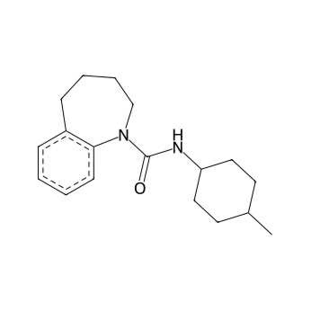 CC1CCC(NC(=O)N2CCCCc3ccccc32)CC1